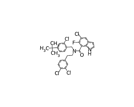 CC(C)(C)c1ccc(CN(CCc2ccc(Cl)c(Cl)c2)C(=O)c2c(F)c(Cl)cc3cc[nH]c23)c(Cl)c1